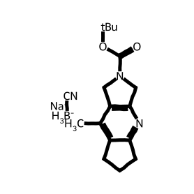 Cc1c2c(nc3c1CN(C(=O)OC(C)(C)C)C3)CCC2.[BH3-]C#N.[Na+]